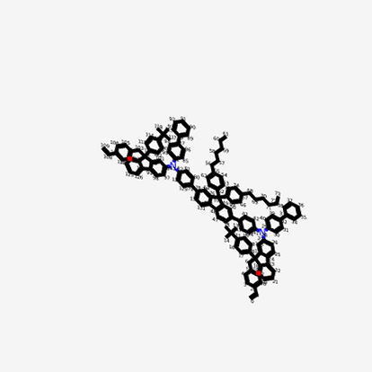 C=Cc1ccc(CC2(c3ccc(C(C)(C)C)cc3)c3ccccc3-c3ccc(N(c4ccc(-c5ccccc5)cc4)c4ccc(-c5ccc6c(c5)C(c5ccc(CCCCCC)cc5)(c5ccc(CCCCCC)cc5)c5cc(-c7ccc(N(c8ccc(-c9ccccc9)cc8)c8ccc9c(c8)C(Cc8ccc(C=C)cc8)(c8ccc(C(C)(C)C)cc8)c8ccccc8-9)cc7)ccc5-6)cc4)cc32)cc1